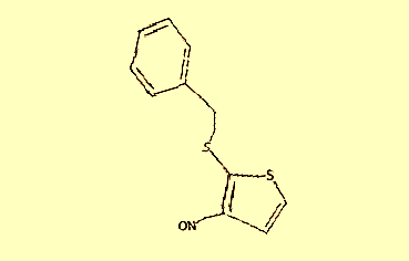 O=Nc1ccsc1SCc1ccccc1